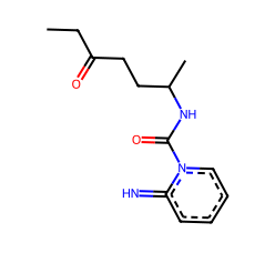 CCC(=O)CCC(C)NC(=O)n1ccccc1=N